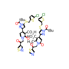 CC(C)(C)C(=O)n1nc(-c2ccn(CC(=O)c3cnsc3)c(=O)c2C(=O)O)cc1SCc1ccc(Cl)s1.Cc1c(C(=O)O)c(-c2cc(SCc3ccc(Cl)s3)n(C(=O)C(C)(C)C)n2)cc(=O)n1CC(=O)c1cncs1